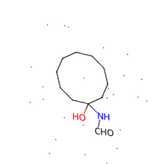 O=CNC1(O)CCCCCCCCC1